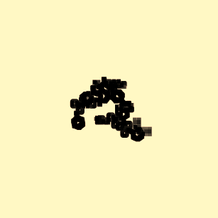 CCn1c(-c2cc(N3CCN(C(=O)OCc4ccccc4)CC3)cnc2[C@H](C)OC)c(CC(C)(C)CO)c2cc(-c3csc(C[C@H](NC(=O)OC(C)(C)C)C(=O)OC(=O)C4CCCNN4)n3)ccc21